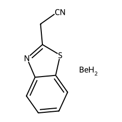 N#CCc1nc2ccccc2s1.[BeH2]